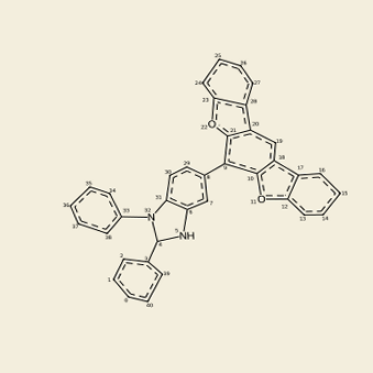 c1ccc(C2Nc3cc(-c4c5oc6ccccc6c5cc5c4oc4ccccc45)ccc3N2c2ccccc2)cc1